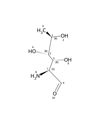 C[C@@H](O)[C@@H](O)[C@H](O)[C@H](N)C=O